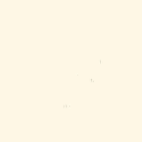 Cc1csc2nc(C(C)c3cccc(C(=O)c4cccs4)c3)oc(=O)c12